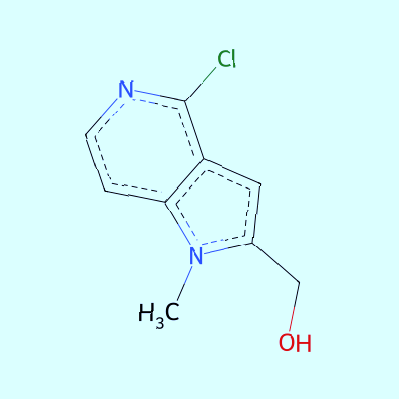 Cn1c(CO)cc2c(Cl)nccc21